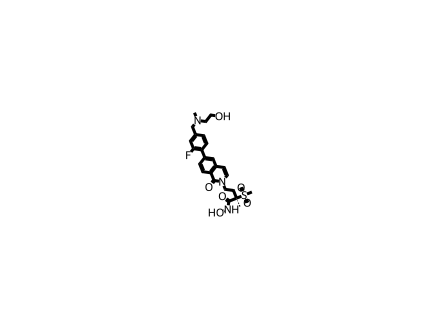 CN(CCO)Cc1ccc(-c2ccc3c(=O)n(CC[C@](C)(C(=O)NO)S(C)(=O)=O)ccc3c2)c(F)c1